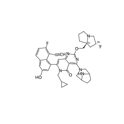 C#Cc1c(F)ccc2cc(O)cc(-c3cc4nc(OC[C@@]56CCCN5C[C@H](F)C6)nc(N5CC6CCC(C5)N6)c4c(=O)n3CC3CC3)c12